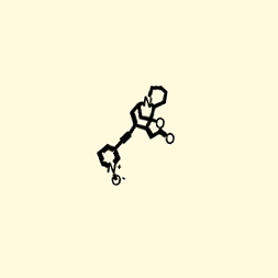 O=C1C=C2C(C#Cc3ccc[n+]([O-])c3)=CC3CC2(O1)C1CCCCN31